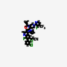 Cc1nc2c(F)c(-c3cccc(Cl)c3Cl)c(CCC#N)cc2c2c1cc(C1C3CC(CN(c4nccc(C(F)(F)F)c4F)C3)N1C(=O)C1CC1)n2C1C2CNC1C2